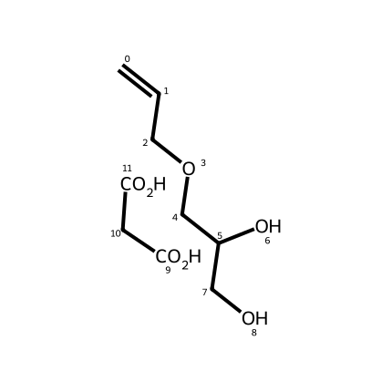 C=CCOCC(O)CO.O=C(O)CC(=O)O